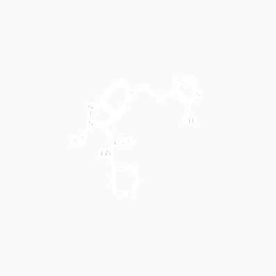 Cc1ncsc1COc1ccc2nn(C)c(C(=O)NC3CCOCC3)c2c1